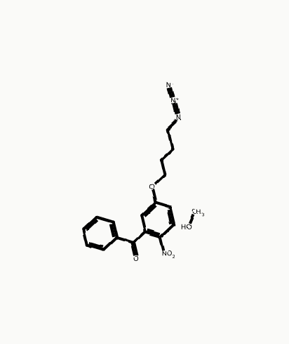 CO.[N-]=[N+]=NCCCCOc1ccc([N+](=O)[O-])c(C(=O)c2ccccc2)c1